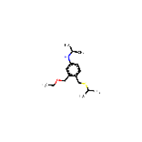 CCOCc1cc(NC(C)C)ccc1CSC(C)C